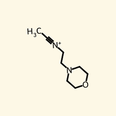 CC#[N+]CCN1CCOCC1